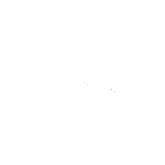 Cc1ccccc1-c1nc(C)c(-c2cccc(-c3ccccc3)c2)nc1-c1ccccc1